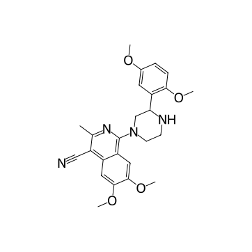 COc1ccc(OC)c(C2CN(c3nc(C)c(C#N)c4cc(OC)c(OC)cc34)CCN2)c1